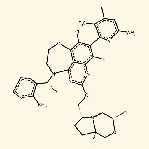 Cc1cc(N)nc(-c2c(Cl)c3c4c(nc(OC[C@H]5CC[C@@H]6CO[C@@H](C)CN56)nc4c2F)N([C@H](C)c2cccnc2N)CCO3)c1C(F)(F)F